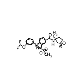 CC1(NC(=O)c2ccc3c(c2)c(S(C)(=O)=O)nn3-c2cccc(OC(F)F)c2)CCS(=O)(=O)C1